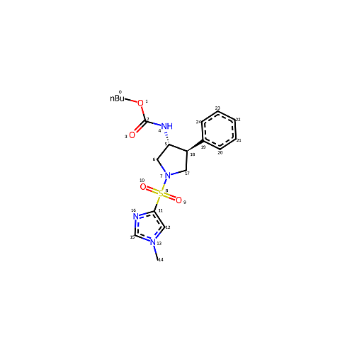 CCCCOC(=O)N[C@H]1CN(S(=O)(=O)c2cn(C)cn2)C[C@@H]1c1ccccc1